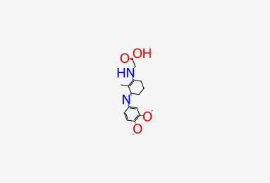 COc1ccc(N=C2CCCC(NCC(=O)O)=C2C)cc1OC